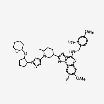 COc1ccc(CNc2nc3cc(OC)c(F)cc3c3nc(C4CCC(C)N(c5cnn(C6CCCC6OC6CCCCO6)c5)C4)nn23)c(O)c1